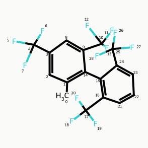 Cc1cc(C(F)(F)F)cc(C(F)(F)F)c1-c1c(C(F)(F)F)cccc1C(F)(F)F